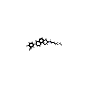 CCC/C=C/[C@H]1CCc2c(ccc3c2CC[C@H](c2ccc(F)c(F)c2)C3)C1